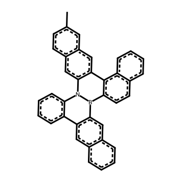 Cc1ccc2cc3c(cc2c1)-c1c(ccc2ccccc12)B1c2cc4ccccc4cc2-c2ccccc2N13